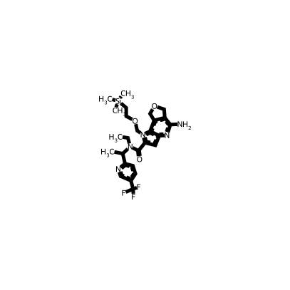 CCN(C(=O)c1cc2nc(N)c3c(c2n1COCC[Si](C)(C)C)COC3)C(C)c1ccc(C(F)(F)F)cn1